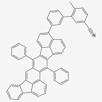 Cc1ccc(C#N)cc1-c1cccc(-c2ccc3c4c(-c5ccccc5)c5cc6c7ccccc7c7cccc(c5c(-c5ccccc5)c4c4cccc2c34)c76)c1